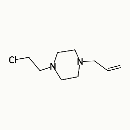 C=CCN1CCN(CCCl)CC1